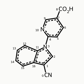 N#Cc1cn(-c2ccc(C(=O)O)cn2)c2ccccc12